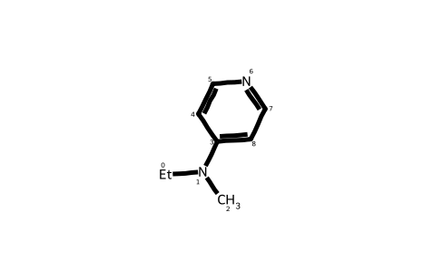 CCN(C)c1ccncc1